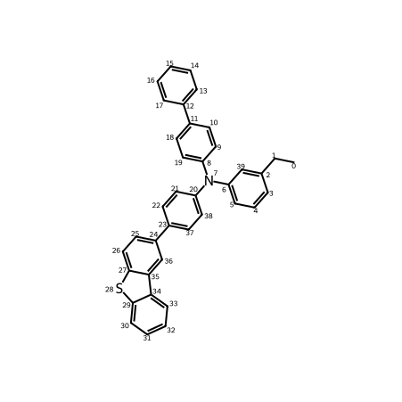 CCc1cccc(N(c2ccc(-c3ccccc3)cc2)c2ccc(-c3ccc4sc5ccccc5c4c3)cc2)c1